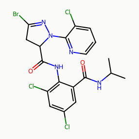 CC(C)NC(=O)c1cc(Cl)cc(Cl)c1NC(=O)C1CC(Br)=NN1c1ncccc1Cl